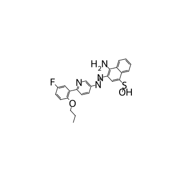 CCCOc1ccc(F)cc1-c1ccc(/N=N/c2cc(SO)c3ccccc3c2N)cn1